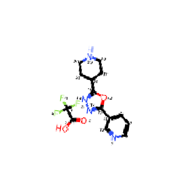 O=C(O)C(F)(F)F.c1cncc(-c2nnc(C3CCNCC3)o2)c1